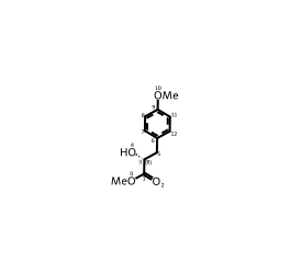 COC(=O)[C@H](O)Cc1ccc(OC)cc1